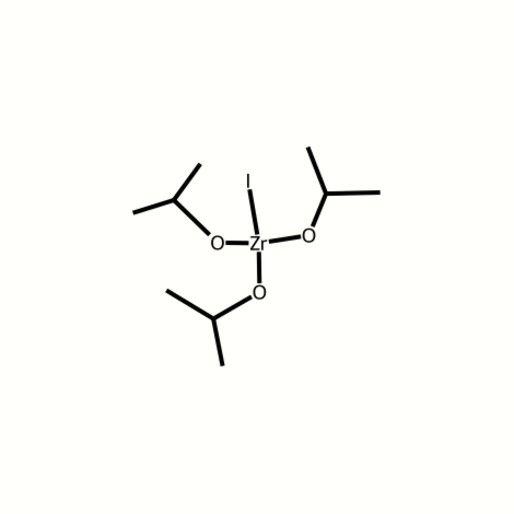 CC(C)[O][Zr]([I])([O]C(C)C)[O]C(C)C